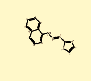 c1ccc2c(N/N=N/c3nccs3)cccc2c1